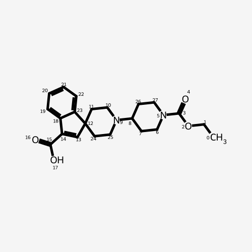 CCOC(=O)N1CCC(N2CCC3(C=C(C(=O)O)c4ccccc43)CC2)CC1